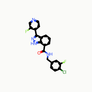 O=C(NCc1ccc(Cl)c(F)c1)c1cccc2c(-c3ccncc3F)n[nH]c12